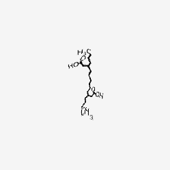 CCCCC(CCCCCCC(CCCC)CC(=O)O)CC(=O)O